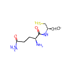 NC(=O)CC[C@H](N)C(=O)N[C@H]([C]=O)CS